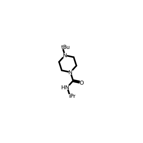 CC(C)NC(=O)N1CCN(C(C)(C)C)CC1